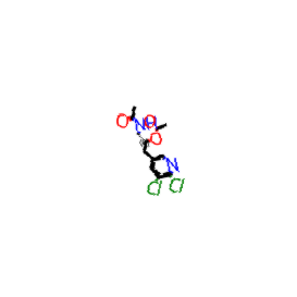 CC(=O)NC[C@@H](Cc1cnc(Cl)c(Cl)c1)OC(C)=O